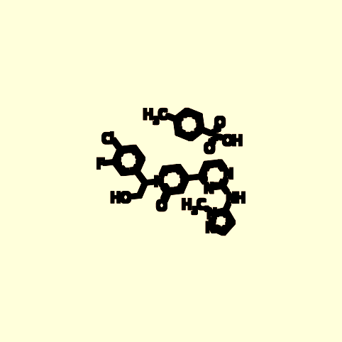 Cc1ccc(S(=O)(=O)O)cc1.Cn1nccc1Nc1nccc(-c2ccn(C(CO)c3ccc(Cl)c(F)c3)c(=O)c2)n1